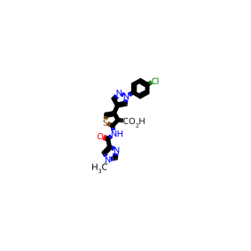 Cn1cnc(C(=O)NC2SC=C(c3cnn(-c4ccc(Cl)cc4)c3)C2C(=O)O)c1